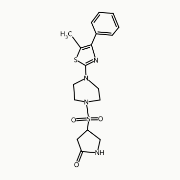 Cc1sc(N2CCN(S(=O)(=O)C3CNC(=O)C3)CC2)nc1-c1ccccc1